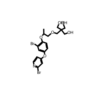 CC(COCC(CO)(CO)CO)Oc1ccc(Oc2ccnc(Br)c2)cc1Br